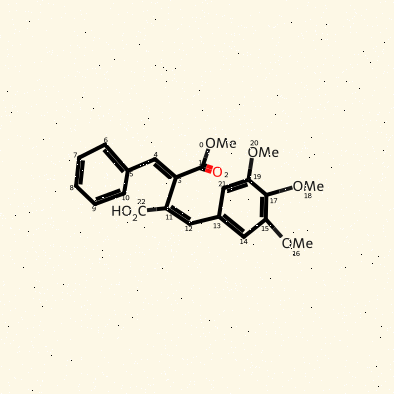 COC(=O)C(=C/c1ccccc1)/C(=C\c1cc(OC)c(OC)c(OC)c1)C(=O)O